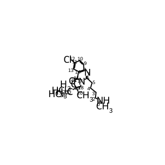 CNCCCCc1nc2ccc(Cl)cc2c(=O)n1CC(C)(C)C.Cl.Cl